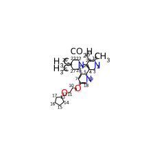 Cc1ncc(-c2ccc(OCCOC3CCCC3)cn2)c(N2CCC(C)(C)CC2)c1CC(=O)O